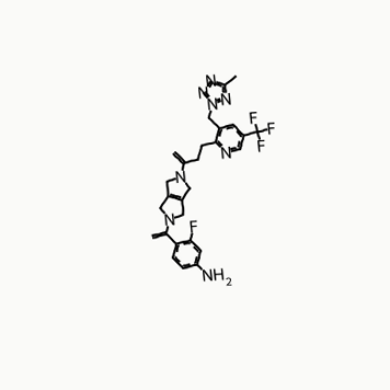 C=C(CCc1ncc(C(F)(F)F)cc1Cn1nnc(C)n1)N1CC2=C(C1)CN(C(=C)c1ccc(N)cc1F)C2